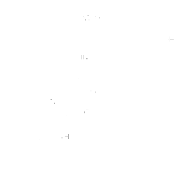 COc1cc(O)ccc1NC(=O)Cn1cc(F)c(=O)[nH]c1=O